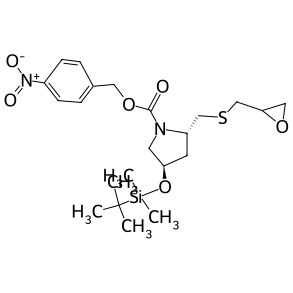 CC(C)(C)[Si](C)(C)O[C@@H]1C[C@@H](CSCC2CO2)N(C(=O)OCc2ccc([N+](=O)[O-])cc2)C1